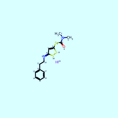 CN(C)C(=O)Sc1cc(=NCCc2ccccc2)ss1.I